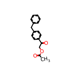 CC(=O)OCC(=O)c1ccc(Cc2ccccc2)cc1